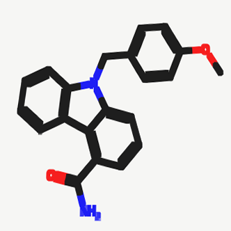 COc1ccc(Cn2c3ccc[c]c3c3c(C(N)=O)cccc32)cc1